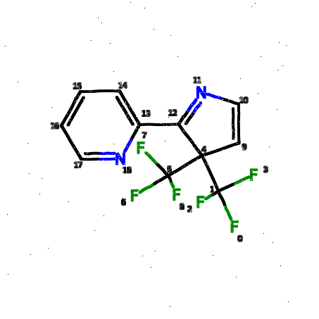 FC(F)(F)C1(C(F)(F)F)C=CN=C1c1ccccn1